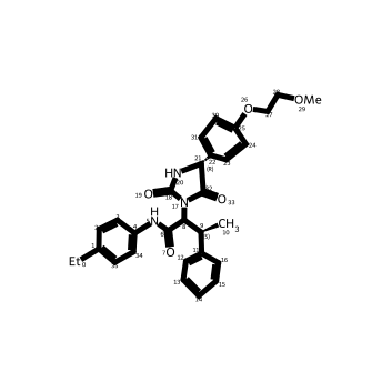 CCc1ccc(NC(=O)C([C@@H](C)c2ccccc2)N2C(=O)N[C@H](c3ccc(OCCOC)cc3)C2=O)cc1